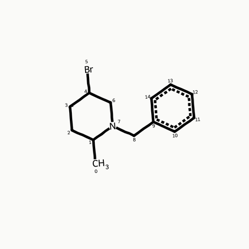 CC1C[CH]C(Br)CN1Cc1ccccc1